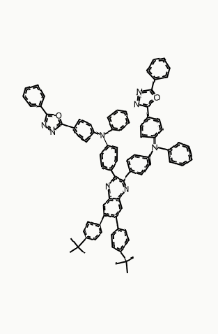 CC(C)(C)c1ccc(-c2cc3nc(-c4ccc(N(c5ccccc5)c5ccc(-c6nnc(-c7ccccc7)o6)cc5)cc4)c(-c4ccc(N(c5ccccc5)c5ccc(-c6nnc(-c7ccccc7)o6)cc5)cc4)nc3cc2-c2ccc(C(C)(C)C)cc2)cc1